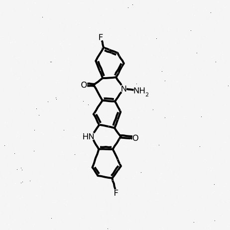 Nn1c2ccc(F)cc2c(=O)c2cc3[nH]c4ccc(F)cc4c(=O)c3cc21